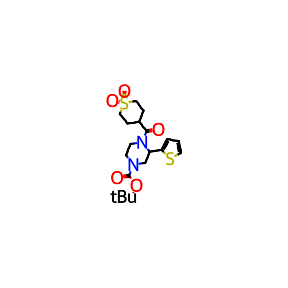 CC(C)(C)OC(=O)N1CCN(C(=O)C2CCS(=O)(=O)CC2)C(c2cccs2)C1